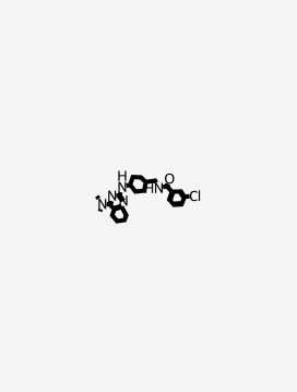 CN(C)c1nc(NC2CCC(CNC(=O)c3cccc(Cl)c3)CC2)nc2c1CCCC2